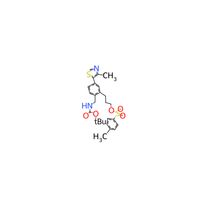 Cc1ccc(S(=O)(=O)OCCCc2cc(-c3scnc3C)ccc2CNC(=O)OC(C)(C)C)cc1